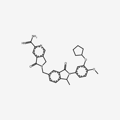 COc1ccc(N2C(=O)c3cc(CN4Cc5cnc(C(=N)N)cc5C4=O)ccc3C2C)cc1OC1CCCC1